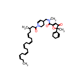 CC/C=C\C/C=C\C/C=C\C/C=C\C/C=C\CC(C)CC(=O)N1C=CC(CN(C)C(=O)C2=CC(=O)C(C)(C3=CCCC#C3)O2)CC1